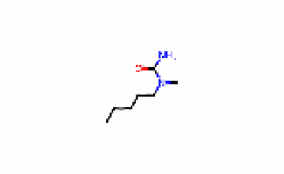 CCCCCN(C)C(N)=O